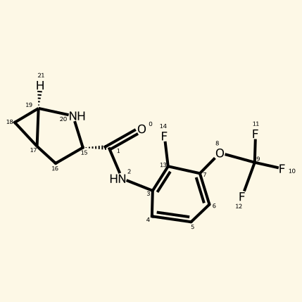 O=C(Nc1cccc(OC(F)(F)F)c1F)[C@@H]1CC2C[C@H]2N1